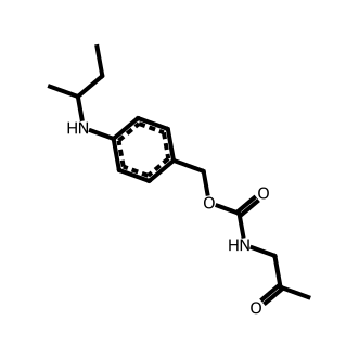 CCC(C)Nc1ccc(COC(=O)NCC(C)=O)cc1